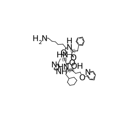 NCCCCCC(=O)N[C@@H](Cc1ccccc1)C(=O)N[C@@H](Cc1c[nH]cn1)C(=O)N[C@@H](CC1CCCCC1)[C@@H](O)CCOc1ccccn1